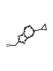 ClCc1nc2cc(C3CC3)ccn2n1